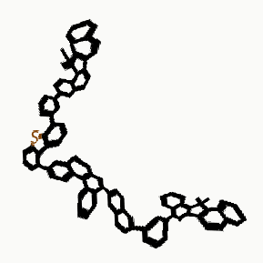 CC1(C)c2c(ccc3ccccc23)-c2ccc3cc(-c4cccc(-c5cccc6c5sc5cccc(-c7ccc8c(ccc9cc(-c%10ccc%11cc(-c%12cccc(-c%13cc%14c(c%15ccccc%13%15)C(C)(C)c%13c-%14ccc%14ccccc%13%14)c%12)ccc%11c%10)c%10ccccc%10c98)c7)c56)c4)ccc3c21